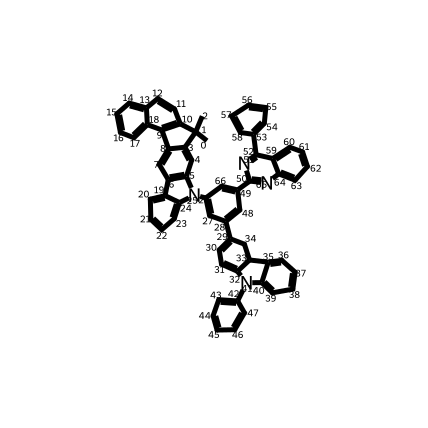 CC1(C)c2cc3c(cc2-c2c1ccc1ccccc21)c1ccccc1n3-c1cc(C2=CC=C3C(C2)c2ccccc2N3c2ccccc2)cc(-c2nc(-c3ccccc3)c3ccccc3n2)c1